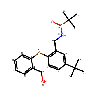 CC(C)(C)c1ccc(Sc2ccccc2CO)c(CN[S+]([O-])C(C)(C)C)c1